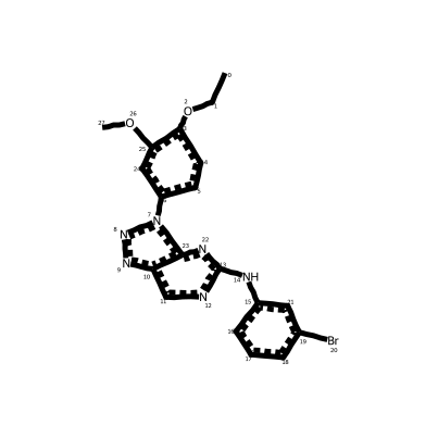 CCOc1ccc(-n2nnc3cnc(Nc4cccc(Br)c4)nc32)cc1OC